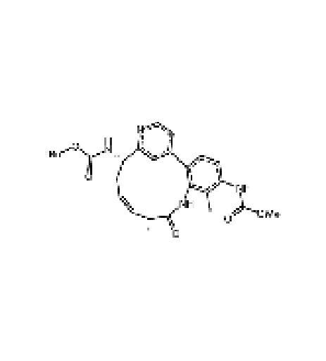 COC(=O)Nc1ccc2c(c1F)NC(=O)[C@H](C)C=CC[C@H](NC(=O)OC(C)(C)C)c1cc-2ccn1